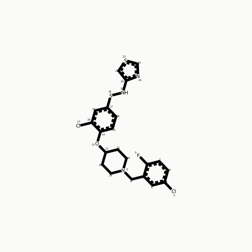 Fc1ccc(Cl)cc1CN1CCC(Oc2ccc(SNc3cscn3)cc2Cl)CC1